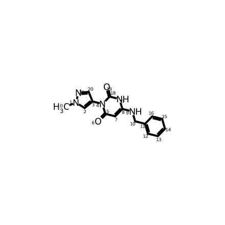 Cn1cc(-n2c(=O)cc(NCc3ccccc3)[nH]c2=O)cn1